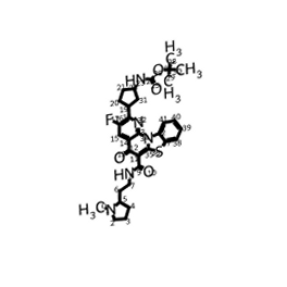 CN1CCCC1CCNC(=O)c1c(=O)c2cc(F)c(C3CCC(NC(=O)OC(C)(C)C)C3)nc2n2c1sc1ccccc12